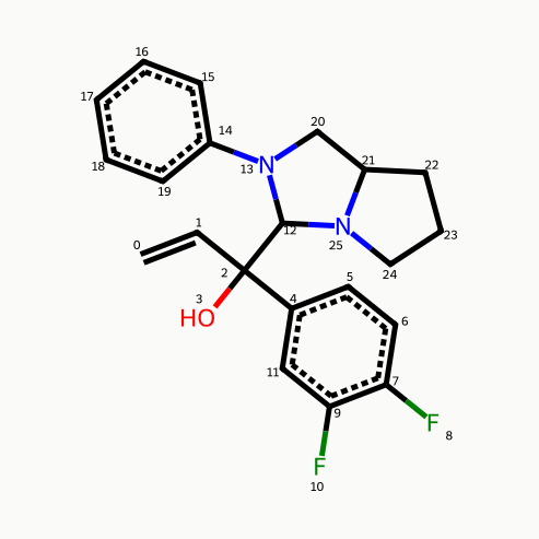 C=CC(O)(c1ccc(F)c(F)c1)C1N(c2ccccc2)CC2CCCN21